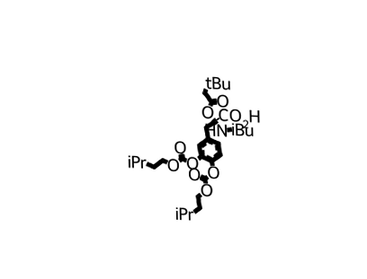 CCC(C)N[C@@](Cc1ccc(OC(=O)OCCC(C)C)c(OC(=O)OCCC(C)C)c1)(OC(=O)CC(C)(C)C)C(=O)O